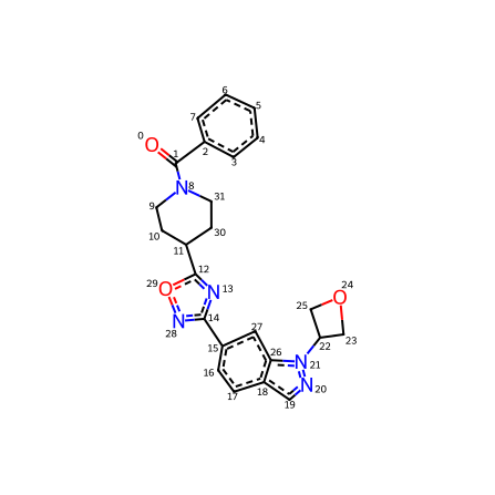 O=C(c1ccccc1)N1CCC(c2nc(-c3ccc4cnn(C5COC5)c4c3)no2)CC1